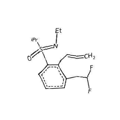 C=Cc1c(C(F)F)cccc1S(=O)(=NCC)C(C)C